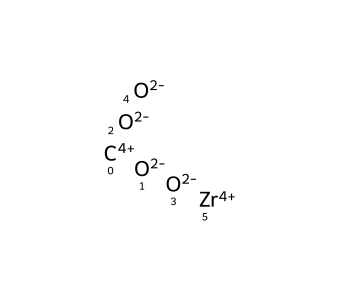 [C+4].[O-2].[O-2].[O-2].[O-2].[Zr+4]